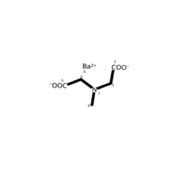 CN(CC(=O)[O-])CC(=O)[O-].[Ba+2]